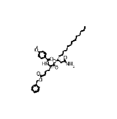 CCCCCCCCCCCCC[C@H](CC(N)=O)OC(=O)[C@@H](CCCC(=O)OCc1ccccc1)NC(=O)c1ccc(OC)cc1